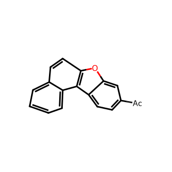 CC(=O)c1ccc2c(c1)oc1ccc3ccccc3c12